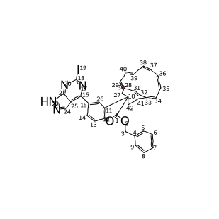 O=C(OCc1ccccc1)C1(c2cccc(-c3nc(I)nc4[nH]ncc34)c2)CCC2=C/C=C\C(=C\C=C/C=C\C=C\2)CC1